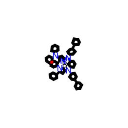 c1ccc(-c2ccc(N3c4cccc5c4B(c4c3cc(-c3ccccc3)n4-c3ccccc3)n3cc(N(c4ccccc4)c4ccccc4)cc3N5c3ccc(-c4ccccc4)cc3)cc2)cc1